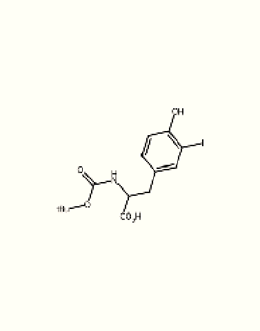 CC(C)(C)OC(=O)NC(Cc1ccc(O)c(I)c1)C(=O)O